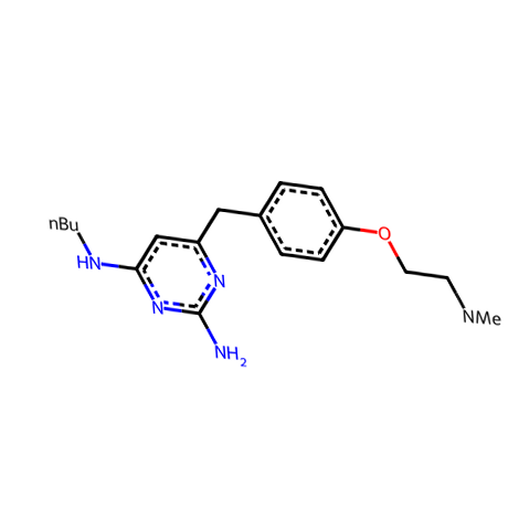 CCCCNc1cc(Cc2ccc(OCCNC)cc2)nc(N)n1